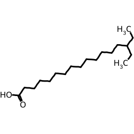 CCC(CC)CCCCCCCCCCCCCC(=O)O